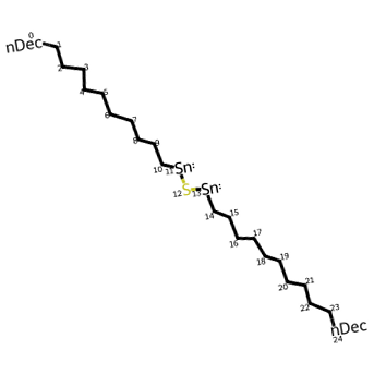 CCCCCCCCCCCCCCCCCCC[CH2][Sn][S][Sn][CH2]CCCCCCCCCCCCCCCCCCC